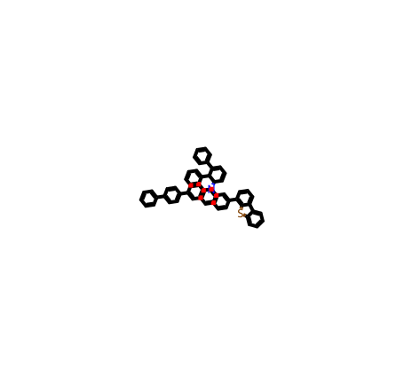 C1=CC(N(c2ccc(-c3ccc(-c4ccccc4)cc3)cc2)c2cccc(-c3cccc4c3sc3ccccc34)c2)C(c2ccccc2-c2ccccc2)C(c2ccccc2)=C1